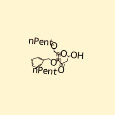 CCCCCOC[C@H]1OC(O)C[C@H](OCCCCC)[C@H]1OCc1ccccc1